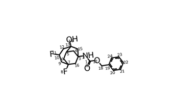 O=C(NC12CC3CC(F)(CC(F)CC3(O)C1)C2)OCc1ccccc1